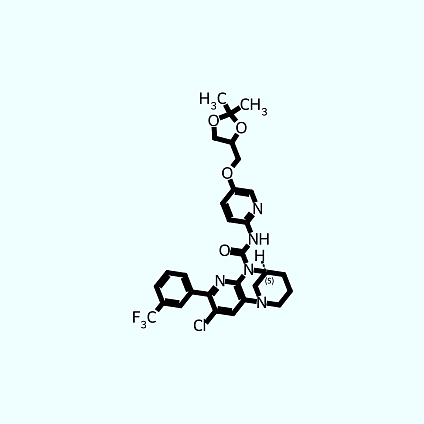 CC1(C)OCC(COc2ccc(NC(=O)N3c4nc(-c5cccc(C(F)(F)F)c5)c(Cl)cc4N4CCC[C@H]3C4)nc2)O1